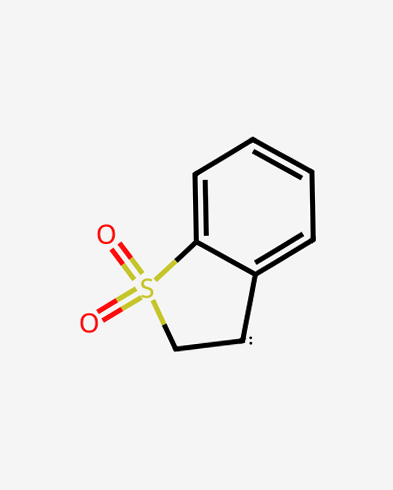 O=S1(=O)C[C]c2ccccc21